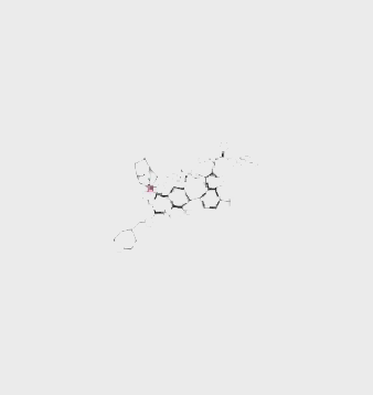 CC(C)(C)OC(=O)Nc1sc2c(F)ccc(-c3c(C(F)(F)F)cc4c(N5CC6CCC(C5)N6C(=O)OC(C)(C)C)nc(OCC5CCOCC5)nc4c3F)c2c1C#N